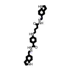 O=C(CCCNc1ccc(C(=O)N/N=C/c2ccc3[nH]ccc3c2)cc1)N/N=C/c1ccc2[nH]ccc2c1